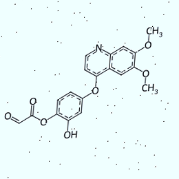 COc1cc2nccc(Oc3ccc(OC(=O)C=O)c(O)c3)c2cc1OC